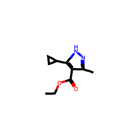 CCOC(=O)c1c(C)n[nH]c1C1CC1